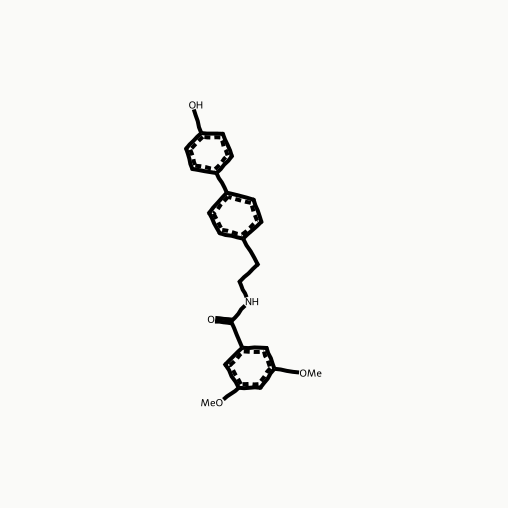 COc1cc(OC)cc(C(=O)NCCc2ccc(-c3ccc(O)cc3)cc2)c1